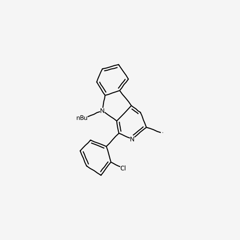 [CH2]c1cc2c3ccccc3n(CCCC)c2c(-c2ccccc2Cl)n1